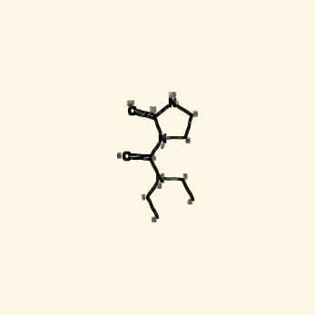 CCN(CC)C(=O)N1CC[N]C1=O